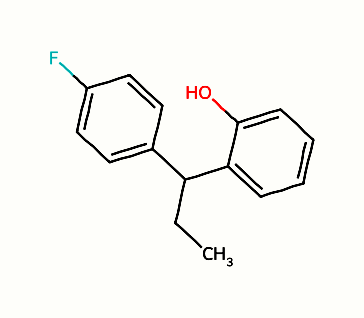 CCC(c1ccc(F)cc1)c1ccccc1O